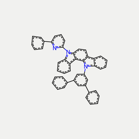 c1ccc(-c2cc(-c3ccccc3)cc(-n3c4ccccc4c4ccc5c(c6ccccc6n5-c5cccc(-c6ccccc6)n5)c43)c2)cc1